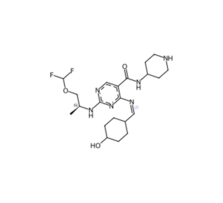 C[C@@H](COC(F)F)Nc1ncc(C(=O)NC2CCNCC2)c(/N=C\C2CCC(O)CC2)n1